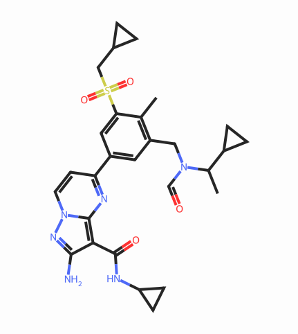 Cc1c(CN(C=O)C(C)C2CC2)cc(-c2ccn3nc(N)c(C(=O)NC4CC4)c3n2)cc1S(=O)(=O)CC1CC1